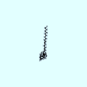 CCCCCCCCCCCCCCCCCCOS(=O)(=O)c1c(C)cc(C)cc1C